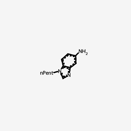 CCCCCn1cnc2cc(N)ccc21